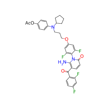 CC(=O)Oc1ccc(N(CCCOc2cc(F)c(-n3c(N)c(C(=O)c4ccc(F)cc4F)ccc3=O)c(F)c2)C2CCCC2)cc1